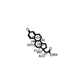 COC(=O)[C@H](OC(C)=O)[C@@]1(O)CC[C@H]2[C@@H]3CCC4=CC(=O)C=C[C@]4(C)[C@H]3[C@@H](O)C[C@@]21C